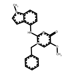 COc1cn(Cc2ccccc2)c(Nc2cccc3c2ccn3C)nc1=O